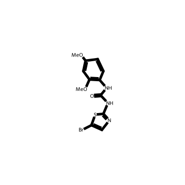 COc1ccc(NC(=O)Nc2ncc(Br)s2)c(OC)c1